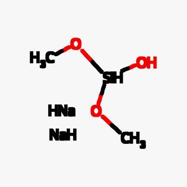 CO[SiH](O)OC.[NaH].[NaH]